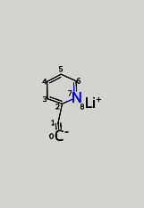 [C-]#Cc1ccccn1.[Li+]